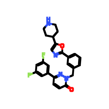 O=c1ccc(-c2cc(F)cc(F)c2)nn1Cc1cccc(-c2ncc(C3CCNCC3)o2)c1